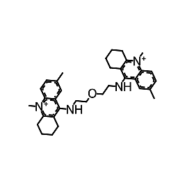 Cc1ccc2c(c1)c(NCCOCCNc1c3c([n+](C)c4ccc(C)cc14)CCCC3)c1c([n+]2C)CCCC1